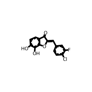 O=C1C(=Cc2ccc(Cl)c(F)c2)Oc2c1ccc(O)c2O